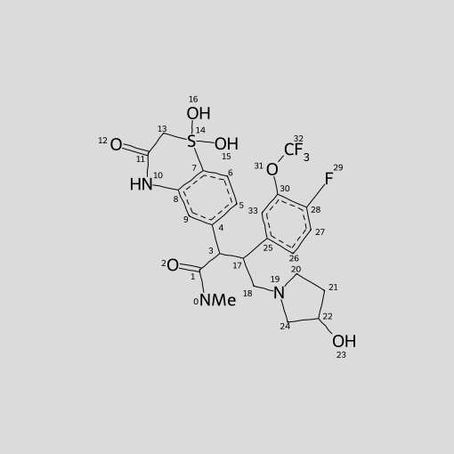 CNC(=O)C(c1ccc2c(c1)NC(=O)CS2(O)O)C(CN1CCC(O)C1)c1ccc(F)c(OC(F)(F)F)c1